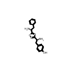 N[C@@H](Cc1ccc(O)cc1)c1noc([C@@H](N)Cc2ccccc2)n1